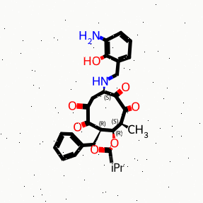 CC(C)C(=O)O[C@@H]1[C@H](C)C(=O)C(=O)[C@@H](NCc2cccc(N)c2O)CC(=O)C(=O)[C@@H]1Cc1ccccc1